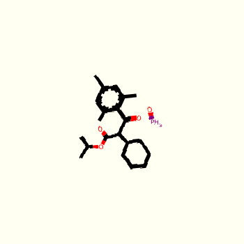 Cc1cc(C)c(C(=O)C(C(=O)OC(C)C)C2CCCCC2)c(C)c1.O=[PH3]